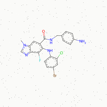 Cn1cnc2c(F)c(Nc3ccc(Br)cc3Cl)c(C(=O)NCc3ccc(N)cc3)cc21